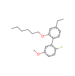 CCCCCCOc1cc(CC)ccc1-c1cc(OC)ccc1F